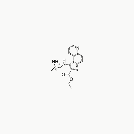 CCOC(=O)c1sc2ccc3ncccc3c2c1NC[C@@H](C)N